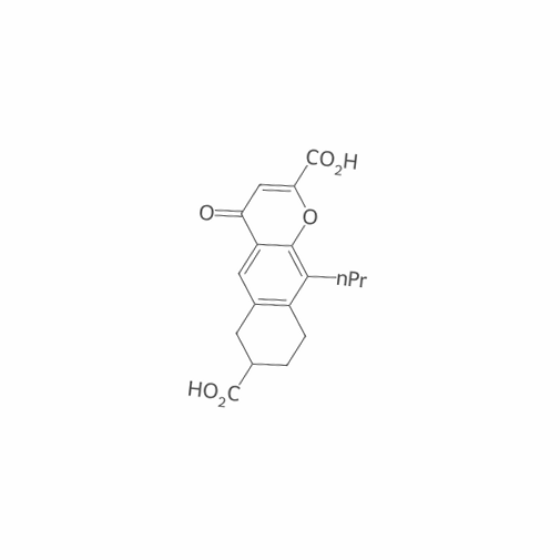 CCCc1c2c(cc3c(=O)cc(C(=O)O)oc13)CC(C(=O)O)CC2